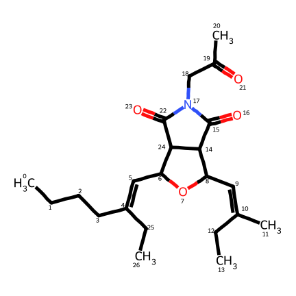 CCCC/C(=C/C1OC(/C=C(/C)CC)C2C(=O)N(CC(C)=O)C(=O)C12)CC